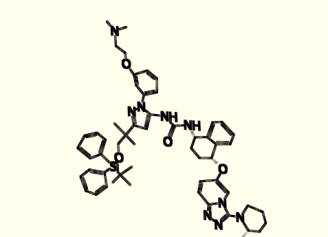 C[C@H]1CCCCN1c1nnc2ccc(O[C@@H]3CC[C@H](NC(=O)Nc4cc(C(C)(C)CO[Si](c5ccccc5)(c5ccccc5)C(C)(C)C)nn4-c4cccc(OCCN(C)C)c4)c4ccccc43)cn12